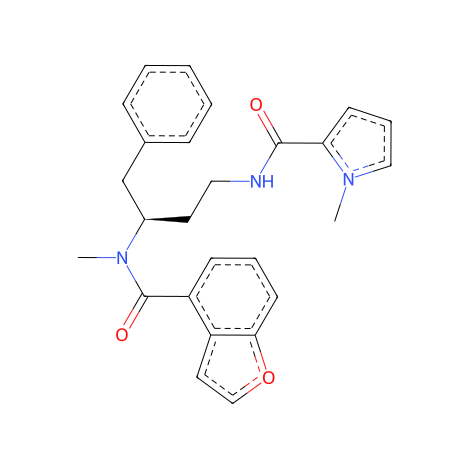 CN(C(=O)c1cccc2occc12)[C@H](CCNC(=O)c1cccn1C)Cc1ccccc1